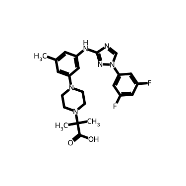 Cc1cc(Nc2ncn(-c3cc(F)cc(F)c3)n2)cc(N2CCN(C(C)(C)C(=O)O)CC2)c1